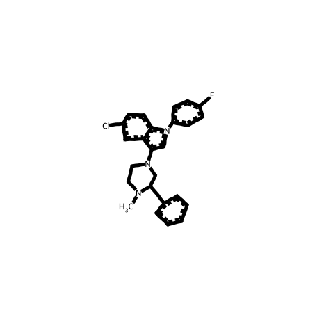 CN1CCN(c2cn(-c3ccc(F)cc3)c3ccc(Cl)cc23)CC1c1ccccc1